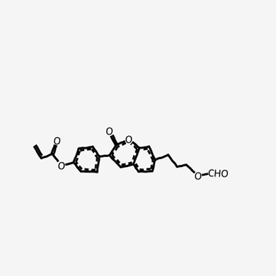 C=CC(=O)Oc1ccc(-c2cc3ccc(CCCOC=O)cc3oc2=O)cc1